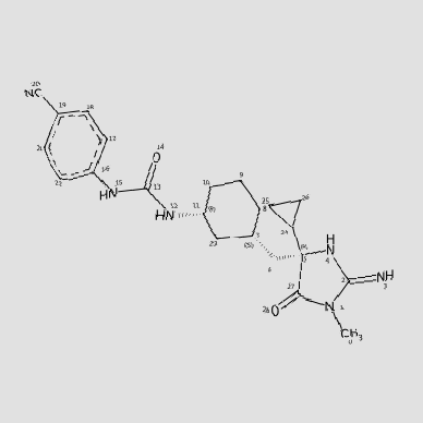 CN1C(=N)N[C@](C[C@H]2CCC[C@@H](NC(=O)Nc3ccc(C#N)cc3)C2)(C2CC2)C1=O